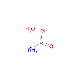 CCC(=O)O.N.O